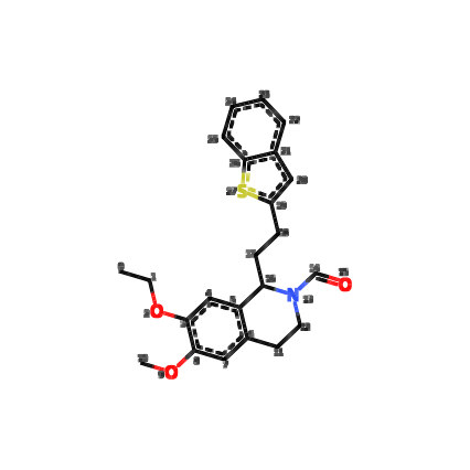 CCOc1cc2c(cc1OC)CCN(C=O)C2CCc1cc2ccccc2s1